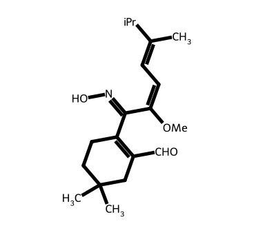 COC(=C/C=C(\C)C(C)C)/C(=N/O)C1=C(C=O)CC(C)(C)CC1